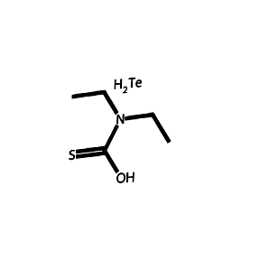 CCN(CC)C(O)=S.[TeH2]